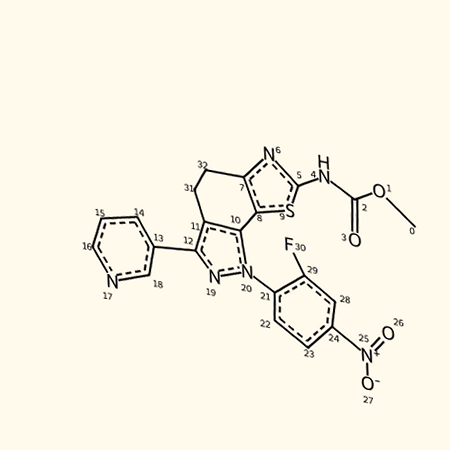 COC(=O)Nc1nc2c(s1)-c1c(c(-c3cccnc3)nn1-c1ccc([N+](=O)[O-])cc1F)CC2